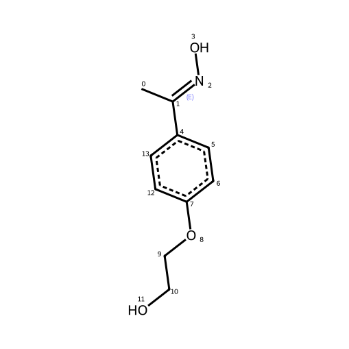 C/C(=N\O)c1ccc(OCCO)cc1